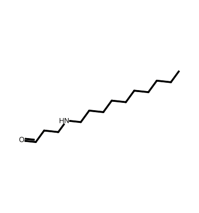 CCCCCCCCCCNCCC=O